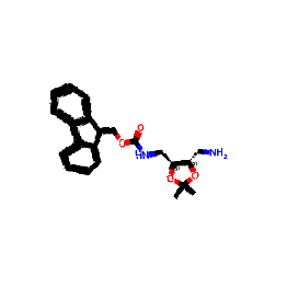 CC1(C)O[C@@H](CN)[C@H](CNC(=O)OCC2c3ccccc3-c3ccccc32)O1